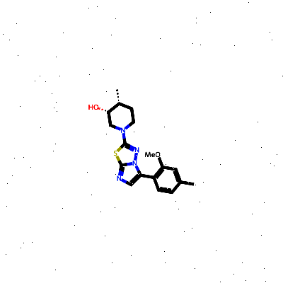 COc1cc(C)ccc1-c1cnc2sc(N3CC[C@@H](C)[C@@H](O)C3)nn12